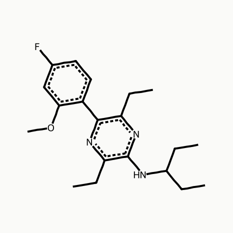 CCc1nc(-c2ccc(F)cc2OC)c(CC)nc1NC(CC)CC